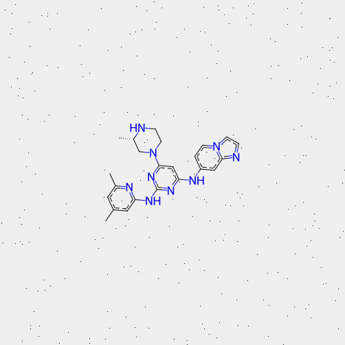 Cc1cc(C)nc(Nc2nc(Nc3ccn4ccnc4c3)cc(N3CCN[C@@H](C)C3)n2)c1